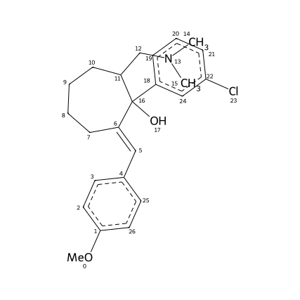 COc1ccc(C=C2CCCCC(CN(C)C)C2(O)c2cccc(Cl)c2)cc1